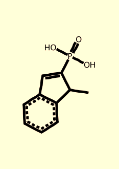 C[C]1C(P(=O)(O)O)=Cc2ccccc21